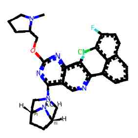 CN1CCCC1COc1nc(N2C[C@H]3CC[C@@H](C2)N3C(=O)O)c2cnc(-c3cccc4ccc(F)c(Cl)c34)c(F)c2n1